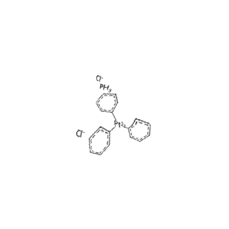 P.[Cl-].[Cl-].c1cc[c]([Pt+2]([c]2ccccc2)[c]2ccccc2)cc1